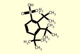 CC(C)(C)c1ccc(S(=O)(=O)O)c(C(C)(C)C)c1C(C)(C)C